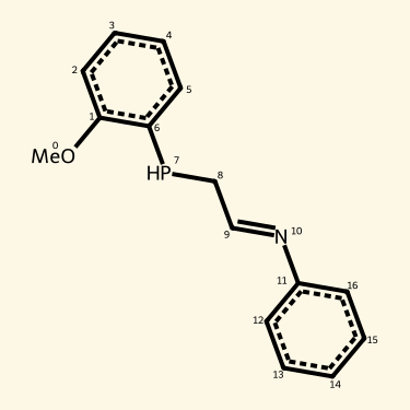 COc1ccccc1PCC=Nc1ccccc1